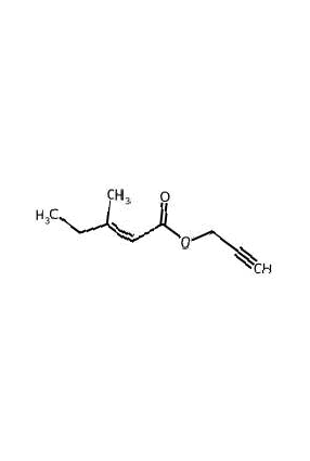 C#CCOC(=O)/C=C(\C)CC